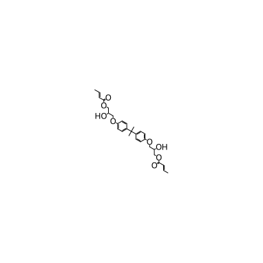 CC=CC(=O)OCC(O)COc1ccc(C(C)(C)c2ccc(OCC(O)COC(=O)C=CC)cc2)cc1